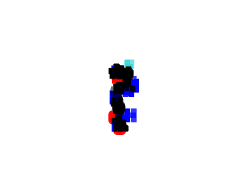 Cc1cc(C(=O)NC2CCC3(CC2)CCN(C[C@@H]2CCN(c4ncnnc4Oc4ccc(F)cc4C(=O)N(C(C)C)C(C)C)C2)CC3)no1